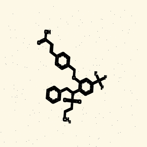 CCCS(=O)(=O)N(Cc1ccccc1)c1ccc(C(F)(F)F)cc1OCc1ccc(C=CC(=O)O)cc1